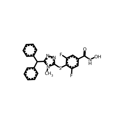 Cn1c(Sc2c(F)cc(C(=O)NO)cc2F)nnc1C(c1ccccc1)c1ccccc1